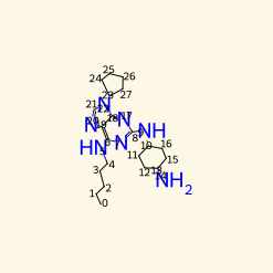 CCCCCNc1nc(N[C@H]2CC[C@H](N)CC2)nc2c1ncn2C1CCCC1